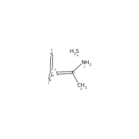 CC(N)=S.S.S=C=S